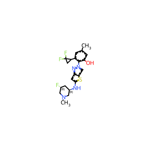 Cc1cc(O)c(-n2cc3sc(N[C@@H]4C[C@@H](F)CN(C)C4)cc3n2)c(C2CC2(F)F)c1